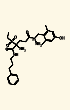 CCS(=O)(=O)C(N)(CCC(=O)[C@H](N)Cc1c(C)cc(O)cc1C)C(=O)NCCCc1ccccc1